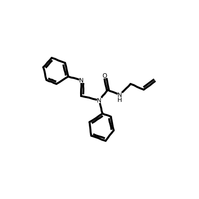 C=CCNC(=O)N(C=Nc1ccccc1)c1ccccc1